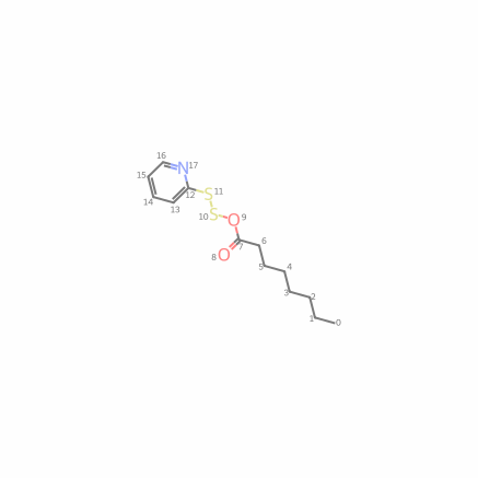 CCCCCCCC(=O)OSSc1ccccn1